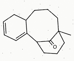 CC12CCCC3CC=CC=C3C(CCC1)C2=O